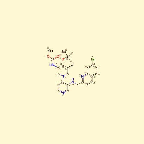 C[C@H]1CN(c2ccncc2NCc2ccc3ccc(Br)cc3n2)C[C@@H](NC(=O)OC(C)(C)C)[C@@H]1O[Si](C)(C)C(C)(C)C